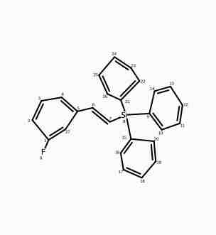 Fc1cccc(/C=C/[Si](c2ccccc2)(c2ccccc2)c2ccccc2)c1